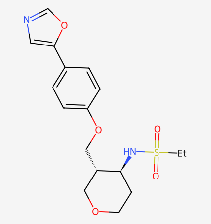 CCS(=O)(=O)N[C@H]1CCOC[C@@H]1COc1ccc(-c2cnco2)cc1